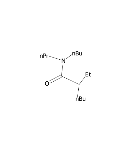 CCCCC(CC)C(=O)N(CCC)CCCC